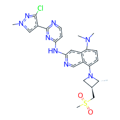 C[C@@H]1[C@@H](CS(C)(=O)=O)CN1c1ccc(N(C)C)c2cc(Nc3ccnc(-c4cn(C)nc4Cl)n3)ncc12